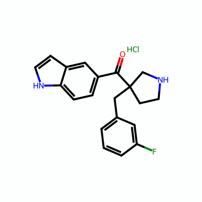 Cl.O=C(c1ccc2[nH]ccc2c1)C1(Cc2cccc(F)c2)CCNC1